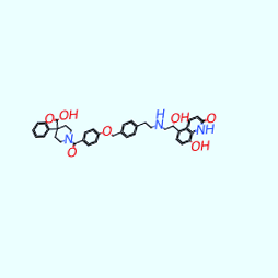 O=C(c1ccc(OCc2ccc(CCNC[C@H](O)c3ccc(O)c4[nH]c(=O)ccc34)cc2)cc1)N1CCC(C(=O)O)(c2ccccc2)CC1